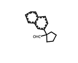 O=CC1(c2ccc3ccccc3c2)CCCC1